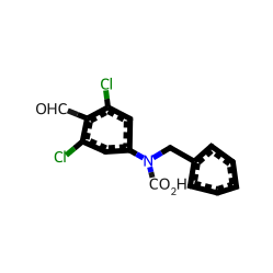 O=Cc1c(Cl)cc(N(Cc2ccccc2)C(=O)O)cc1Cl